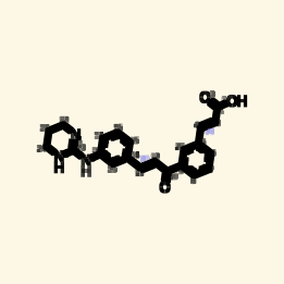 O=C(O)/C=C/c1cccc(C(=O)/C=C/c2cccc(NC3=NCCCN3)c2)c1